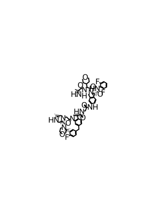 CN[C@@H](C)C(=O)NC(C(=O)N1Cc2cc(NC(=O)CNC(=O)[C@]3(C)CN(C(=O)CN4C[C@@H](C)NC[C@@H]4CN4CCOC[C@H]4C)c4cc(Cc5ccc(F)cc5)ccc43)ccc2[C@H]1C(=O)Nc1c(F)cccc1F)C1CCOCC1